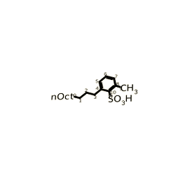 CCCCCCCCCCCc1cccc(C)c1S(=O)(=O)O